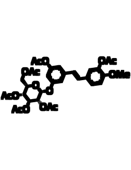 COc1ccc(/C=C/c2cc(OC(C)=O)cc(O[C@@H]3O[C@H](COC(C)=O)[C@@H](OC(C)=O)[C@H](OC(C)=O)[C@H]3OC(C)=O)c2)cc1OC(C)=O